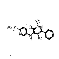 CCn1nc(-c2ccccc2)c(C(C)=O)c(Nc2ccc(C(=O)O)nc2)c1=O